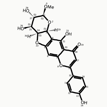 CO[C@H]1O[C@H]2c3c(cc4oc(-c5ccc(O)cc5)cc(=O)c4c3O)O[C@H]2[C@@H](O)[C@@H]1O